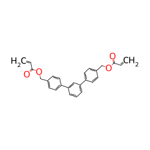 C=CC(=O)OCc1ccc(-c2cccc(-c3ccc(COC(=O)C=C)cc3)c2)cc1